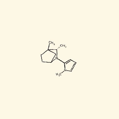 C[C@@H]1N(c2cccn2C)C2CCC1(C)C2